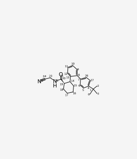 CC(C)(C)c1ccc(-c2ccccc2C2CCCC[C@H]2C(=O)NCC#N)cc1